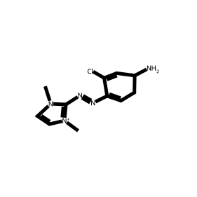 Cn1cc[n+](C)c1N=NC1=CCC(N)C=C1Cl